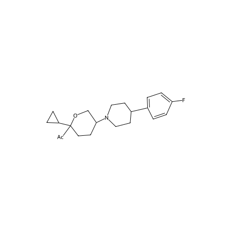 CC(=O)C1(C2CC2)CCC(N2CCC(c3ccc(F)cc3)CC2)CO1